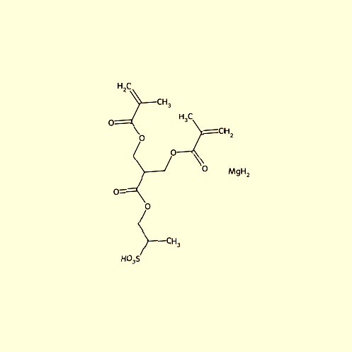 C=C(C)C(=O)OCC(COC(=O)C(=C)C)C(=O)OCC(C)S(=O)(=O)O.[MgH2]